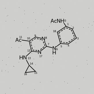 CC(=O)Nc1cccc(Nc2ncc(C(C)=O)c(NC3CC3)n2)c1